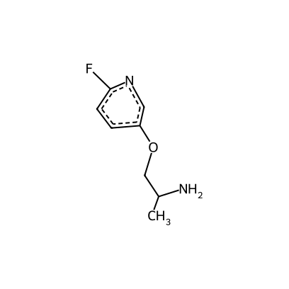 CC(N)COc1ccc(F)nc1